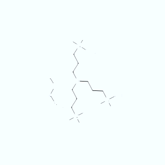 C[Si](C)(C)CCCB(CCC[Si](C)(C)C)CCC[Si](C)(C)C.N[SiH2]O[SiH3]